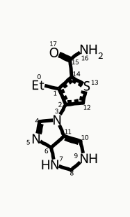 CCc1c(N2C=NC3NCNC=C32)csc1C(N)=O